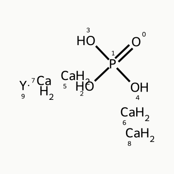 O=P(O)(O)O.[CaH2].[CaH2].[CaH2].[CaH2].[Y]